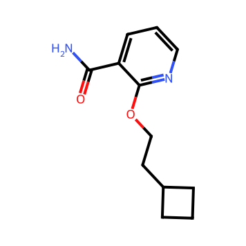 NC(=O)c1cccnc1OCCC1CCC1